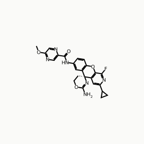 COc1cnc(C(=O)Nc2ccc3c(c2)[C@@]2(CCOC(N)=N2)c2cc(C4CC4)nc(F)c2O3)cn1